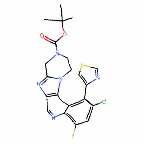 CC(C)(C)OC(=O)N1CCn2c(nc3cnc4c(F)cc(Cl)c(-c5cscn5)c4c32)C1